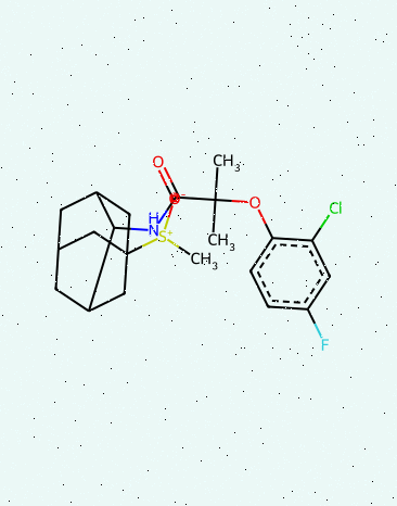 C[S+]([O-])C12CC3CC(C1)C(NC(=O)C(C)(C)Oc1ccc(F)cc1Cl)C(C3)C2